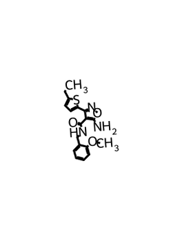 CCc1ccc(-c2noc(N)c2C(=O)NCc2ccccc2OC)s1